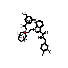 COc1cccc2c(C(=O)NCc3ccc(Cl)c(Cl)c3)cn(CCCN3[C@@H]4CC[C@H]3C[C@@H](CC(=O)c3cc(Cl)cc(Cl)c3)C4)c12